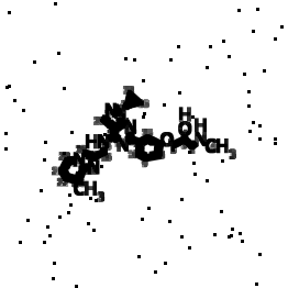 CNCC(O)COc1cccc(-c2nc(NCc3cn4cccc(C)c4n3)c3cnn(C4CC4)c3n2)c1